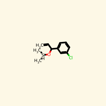 C=CC(O[SiH](C)C)c1cccc(Cl)c1